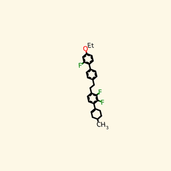 CCOc1ccc(-c2ccc(CCc3ccc(C4=CCC(C)CC4)c(F)c3F)cc2)c(F)c1